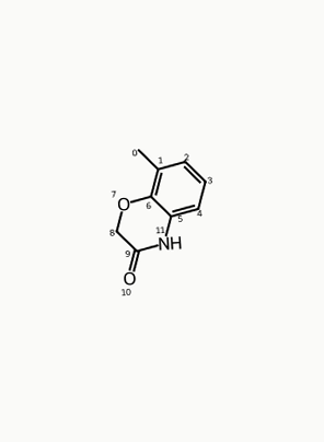 Cc1cccc2c1OCC(=O)N2